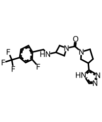 O=C(N1CC(NCc2ccc(C(F)(F)F)cc2F)C1)N1CCC(c2nnc[nH]2)C1